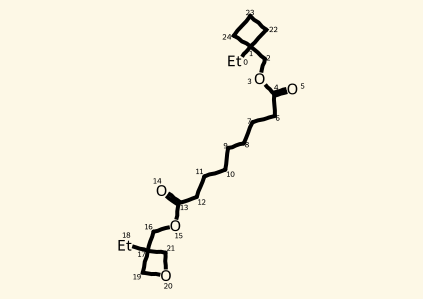 CCC1(COC(=O)CCCCCCCC(=O)OCC2(CC)COC2)CCC1